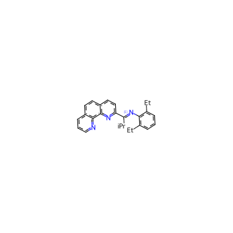 CCc1cccc(CC)c1/N=C(/c1ccc2ccc3cccnc3c2n1)C(C)C